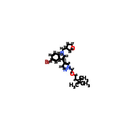 C[Si](C)(C)CCOCn1cc(-c2cn(CC3CCOC3)c3ccc(Br)cc23)cn1